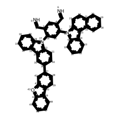 N=Cc1cc(C=N)c(-n2c3ccccc3c3c4ccccc4ccc32)cc1-n1c2ccccc2c2cc(-c3ccc4c(c3)oc3ccccc34)ccc21